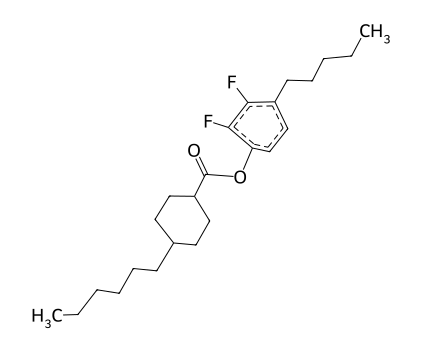 CCCCCCC1CCC(C(=O)Oc2ccc(CCCCC)c(F)c2F)CC1